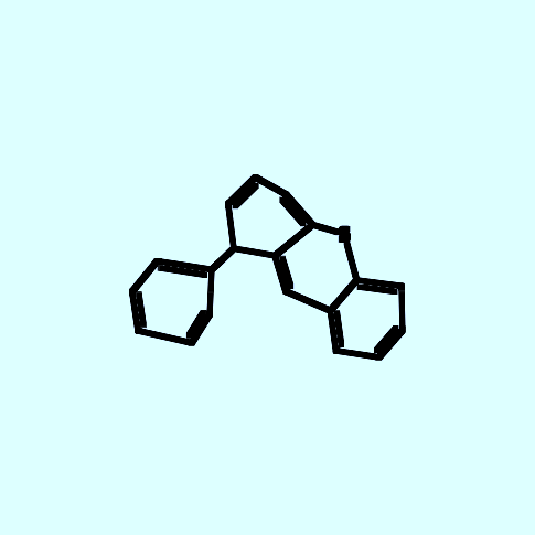 C1=CC(c2ccccc2)C2=Cc3ccccc3SC2=C1